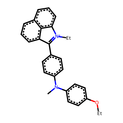 CCOc1ccc(N(C)c2ccc(C3=[N+](CC)c4cccc5cccc3c45)cc2)cc1